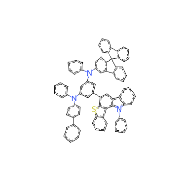 c1ccc(-c2ccc(N(c3ccccc3)c3cc(-c4cc5c6ccccc6n(-c6ccccc6)c5c5c4sc4ccccc45)cc(N(c4ccccc4)c4ccc5c(c4)-c4ccccc4C54c5ccccc5-c5ccccc54)c3)cc2)cc1